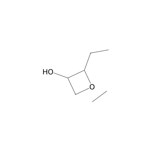 CC.CCC1OCC1O